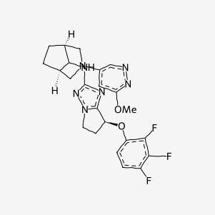 COc1cc(N2C[C@H]3CC[C@@H](C2)C3Nc2nc3n(n2)CC[C@@H]3Oc2ccc(F)c(F)c2F)cnn1